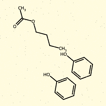 CCCCOC(C)=O.Oc1ccccc1.Oc1ccccc1